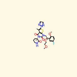 COCCO[C@@H](Cn1c(=O)n([C@H]2CCCNC2=O)c(=O)c2c(C)c(-n3nccn3)sc21)c1cc(F)ccc1OC